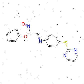 O=NC(C=Nc1ccc(Sc2ncccn2)cc1)Oc1ccccc1